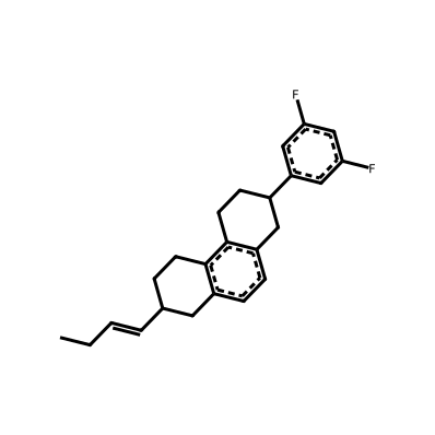 CC/C=C/C1CCc2c(ccc3c2CCC(c2cc(F)cc(F)c2)C3)C1